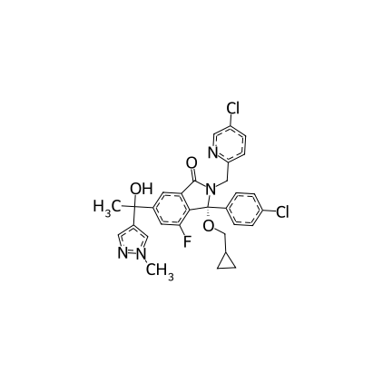 Cn1cc(C(C)(O)c2cc(F)c3c(c2)C(=O)N(Cc2ccc(Cl)cn2)[C@@]3(OCC2CC2)c2ccc(Cl)cc2)cn1